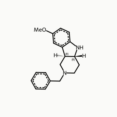 COc1ccc2c(c1)[C@@H]1CN(Cc3ccccc3)CC[C@H]1N2